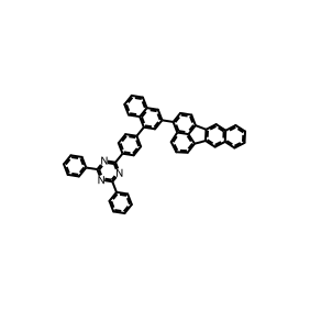 c1ccc(-c2nc(-c3ccccc3)nc(-c3ccc(-c4cc(-c5ccc6c7c(cccc57)-c5cc7ccccc7cc5-6)cc5ccccc45)cc3)n2)cc1